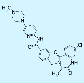 C[C@@H]1C(=O)Nc2cc(Cl)ccc2C(=O)N1Cc1ccc(C(=O)Nc2ccc(N3CCN(C)CC3)cn2)cc1